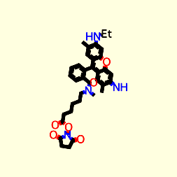 CCNc1cc2oc3cc(=N)c(C)cc-3c(-c3ccccc3C(=O)N(C)CCCCCC(=O)ON3C(=O)CCC3=O)c2cc1C